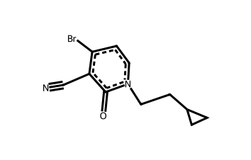 N#Cc1c(Br)ccn(CCC2CC2)c1=O